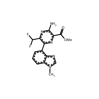 COC(=O)c1nc(-c2cccc3c2ncn3C)c(C(F)F)nc1N